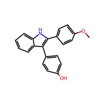 COc1ccc(-c2[nH]c3ccccc3c2-c2ccc(O)cc2)cc1